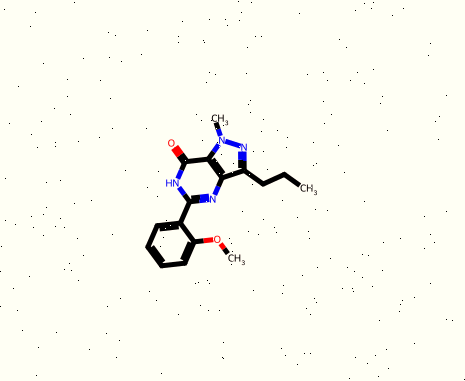 CCCc1nn(C)c2c(=O)[nH]c(-c3ccccc3OC)nc12